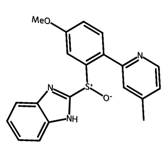 COc1ccc(-c2cc(C)ccn2)c([S+]([O-])c2nc3ccccc3[nH]2)c1